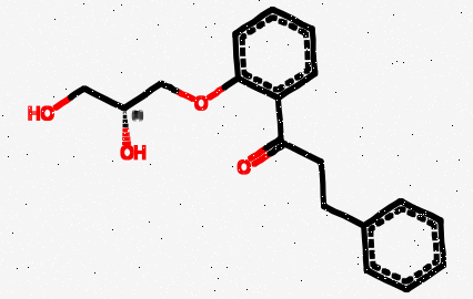 O=C(CCc1ccccc1)c1ccccc1OC[C@H](O)CO